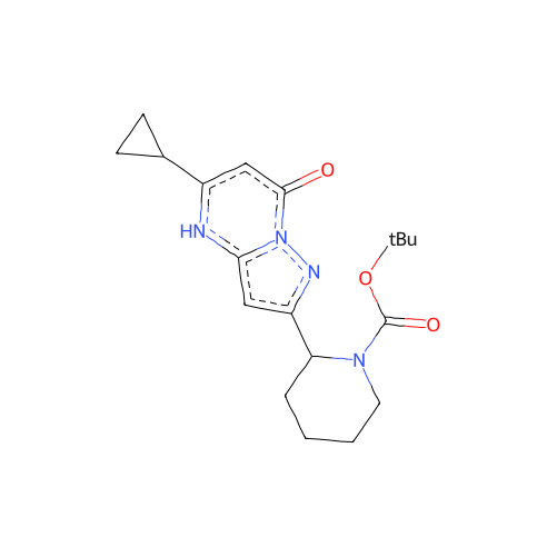 CC(C)(C)OC(=O)N1CCCCC1c1cc2[nH]c(C3CC3)cc(=O)n2n1